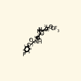 O=C(COc1ccc(F)cc1)NC12CC(c3nnc(C4CC(OC(F)(F)F)C4)o3)(C1)C2